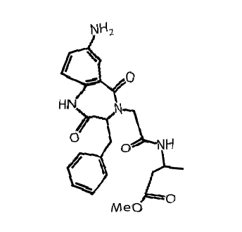 COC(=O)CC(C)NC(=O)CN1C(=O)c2cc(N)ccc2NC(=O)C1Cc1ccccc1